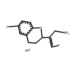 Cl.NC/C(=C\F)C1CCc2cc(F)ccc2O1